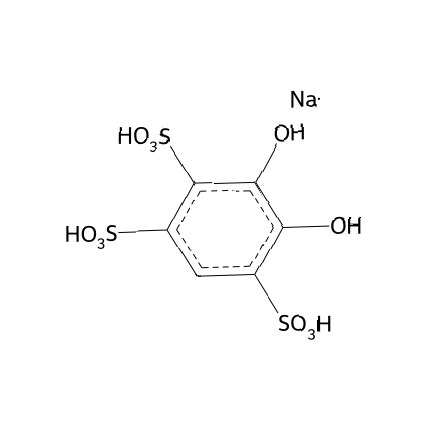 O=S(=O)(O)c1cc(S(=O)(=O)O)c(S(=O)(=O)O)c(O)c1O.[Na]